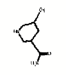 NC(=O)C1CNCC(O)C1